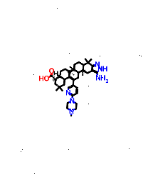 CN1CCN(c2ccc(C3=C4C5CC(C)(C)C[C@@H](C(=O)O)[C@H]5CC[C@@]4(C)[C@]4(C)CCC5C(C)(C)c6n[nH]c(N)c6C[C@]5(C)C4C3)cn2)CC1